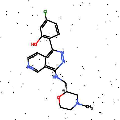 CN1CCO[C@H](CNc2nnc(-c3ccc(Cl)cc3O)c3ccncc23)C1